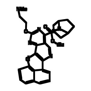 CNCCOc1nc(N2CC3CCC(C2)N3C(=O)OC(C)(C)C)c2cnc(-c3cccc4cccc(Cl)c34)c(F)c2n1